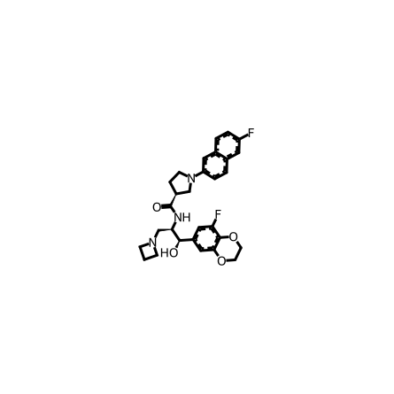 O=C(N[C@H](CN1CCC1)[C@H](O)c1cc(F)c2c(c1)OCCO2)[C@H]1CCN(c2ccc3cc(F)ccc3c2)C1